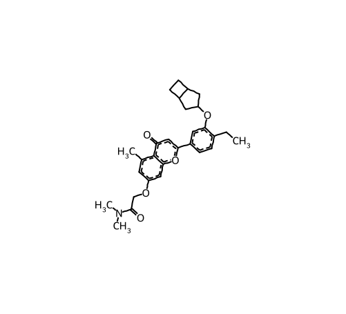 CCc1ccc(-c2cc(=O)c3c(C)cc(OCC(=O)N(C)C)cc3o2)cc1OC1CC2CCC2C1